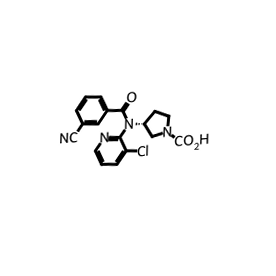 N#Cc1cccc(C(=O)N(c2ncccc2Cl)[C@@H]2CCN(C(=O)O)C2)c1